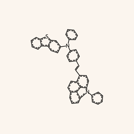 C(=C\c1ccc2c3c1ccc1cccc(c13)n2-c1ccccc1)/c1ccc(N(c2ccccc2)c2ccc3c(c2)sc2ccccc23)cc1